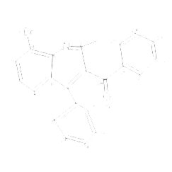 Cc1nc2c(Br)cccc2c(-c2ccccc2)c1C(=O)c1ccccc1